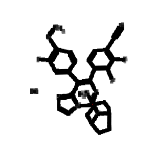 COc1ccc(-c2c(-c3ccc(C#N)c(F)c3F)nc(N3C4CCC3CC(N)C4)n3ccnc23)cc1F.Cl